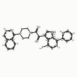 O=C(C(=O)N1CCN(c2nncc3ccccc23)CC1)c1c[nH]c2c(-c3ccccn3)ncc(F)c12